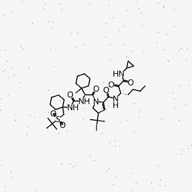 CCCC[C@H](NC(=O)C1=CC(C(C)(C)I)CN1C(=O)[C@@H](NC(=O)NC1(CS(=O)(=O)C(C)(C)C)CCCCC1)C1(C)CCCCC1)C(=O)C(=O)NC1CC1